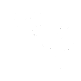 O=C(O)c1ccc(N2CCN(Cc3ccccc3-c3ccc(Cl)cc3)CC2)cc1Oc1ccc2ccncc2c1